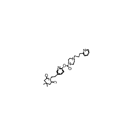 CC1(C)CC(=O)N(CCc2ccc(OC(=O)N3CCN(CCCc4ccccn4)CC3)nc2)C(=O)C1